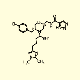 CCCC(CCCc1nc(C)c(C)s1)N1C[C@H](CNC(=O)c2cnn[nH]2)OC[C@@H]1Cc1ccc(Cl)cc1